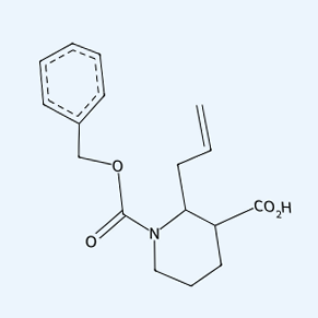 C=CCC1C(C(=O)O)CCCN1C(=O)OCc1ccccc1